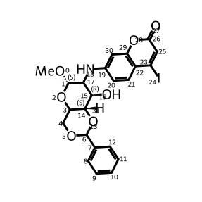 CO[C@H]1OC2COC(c3ccccc3)O[C@H]2[C@H](O)C1Nc1ccc2c(I)cc(=O)oc2c1